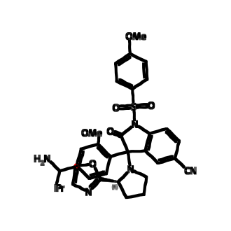 COc1ccc(S(=O)(=O)N2C(=O)C(c3ccc(C(N)C(C)C)cc3OC)(N3CCC[C@H]3c3ncco3)c3cc(C#N)ccc32)cc1